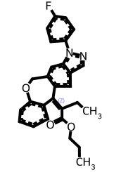 CCCOC(=O)/C(CC)=C1/c2cc3cnn(-c4ccc(F)cc4)c3cc2COc2ccccc21